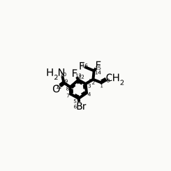 C=C[C](c1cc(Br)cc(C(N)=O)c1F)C(F)F